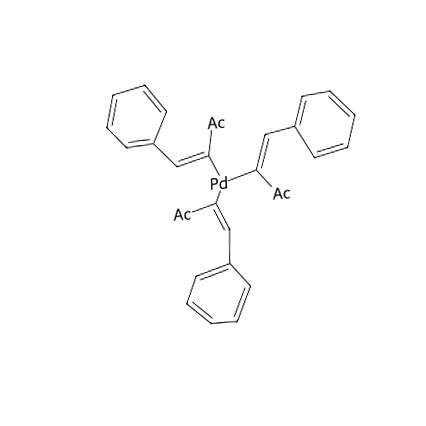 CC(=O)[C](=Cc1ccccc1)[Pd]([C](=Cc1ccccc1)C(C)=O)[C](=Cc1ccccc1)C(C)=O